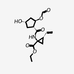 C=C[C@@H]1C[C@]1(NC(=O)[C@@H]1C[C@H](O)C[C@H]1OC=O)C(=O)OCC